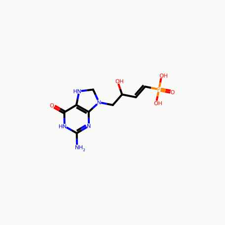 Nc1nc2c(c(=O)[nH]1)NCN2CC(O)C=CP(=O)(O)O